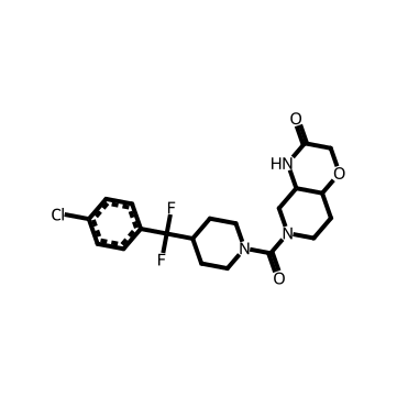 O=C1COC2CCN(C(=O)N3CCC(C(F)(F)c4ccc(Cl)cc4)CC3)CC2N1